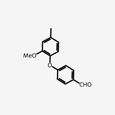 COc1cc(C)ccc1Oc1ccc(C=O)cc1